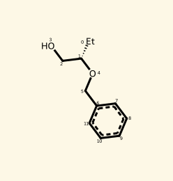 CC[C@@H](CO)OCc1ccccc1